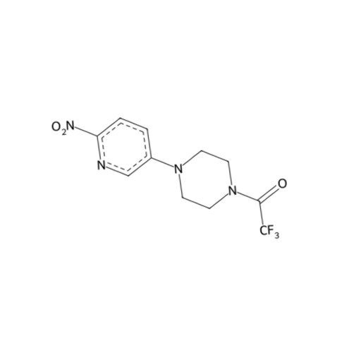 O=C(N1CCN(c2ccc([N+](=O)[O-])nc2)CC1)C(F)(F)F